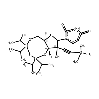 CC(C)[Si]1(C(C)C)OC[C@H]2OC(n3ccc(=O)[nH]c3=O)[C@](O)(C#C[Si](C)(C)C)[C@@H]2O[Si](C(C)C)(C(C)C)O1